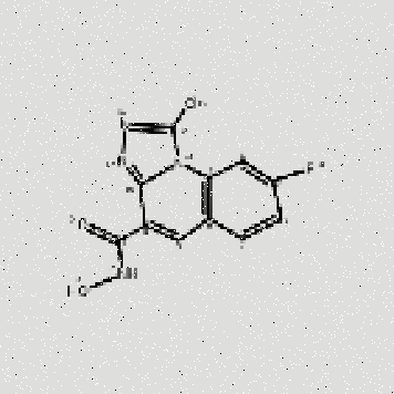 O=C(NO)c1cc2ccc(F)cc2n2c(Cl)nnc12